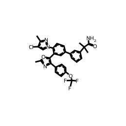 Cc1nc(-c2ccc(OC(F)(F)F)cc2)c(-c2cc(-c3cccc(C(C)(C)C(N)=O)c3)ccc2-n2cc(Cl)c(C)n2)o1